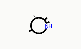 CC1CCCCCNC(C)C(C)CC[C@@H](C)CCC1